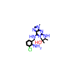 CC(Nc1nc(NCc2cccc(Cl)c2N)c2ncn(C)c2n1)C(C)(C)O